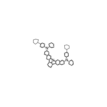 c1ccc(N(c2ccc(C3CCCCC3)cc2)c2ccc3cc4c5cccc6c7cc8ccc(N(c9ccccc9)c9ccc(C%10CCCCC%10)cc9)cc8cc7n(c4cc3c2)c56)cc1